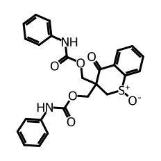 O=C(Nc1ccccc1)OCC1(COC(=O)Nc2ccccc2)C[S+]([O-])c2ccccc2C1=O